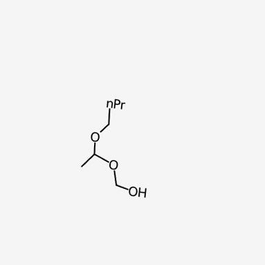 CCCCOC(C)OCO